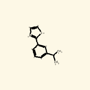 CC(C)c1cccc(-c2nccs2)c1